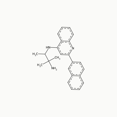 CC(Nc1cc(-c2ccc3ccccc3c2)nc2ccccc12)C(C)(C)N